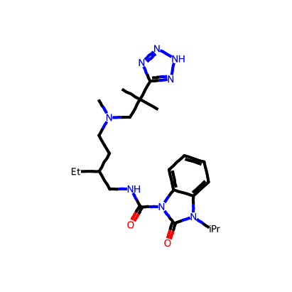 CCC(CCN(C)CC(C)(C)c1nn[nH]n1)CNC(=O)n1c(=O)n(C(C)C)c2ccccc21